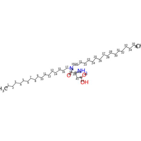 CCCCCCCCCCCCCCCCCCN(CCCCCCCCCCCCCCCCCC)C(=O)[C@@H](N)CC(=O)O